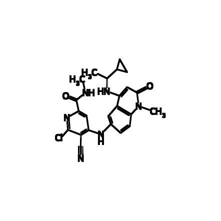 CNC(=O)c1cc(Nc2ccc3c(c2)c(NC(C)C2CC2)cc(=O)n3C)c(C#N)c(Cl)n1